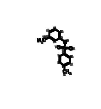 Cc1ccc(S(=O)(=O)Oc2cccc(C)c2)cc1